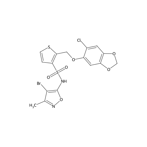 Cc1noc(NS(=O)(=O)c2ccsc2COc2cc3c(cc2Cl)OCO3)c1Br